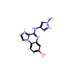 CC(C)n1cc(Nc2nc3cc(O)ccc3n3ccnc23)cn1